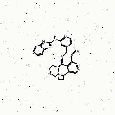 C=Nc1cncc(C2CCC2)c1/C(=N\Cc1ccnc(Nc2nc3ccccn3n2)c1)N1CCNCC1